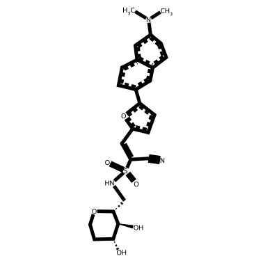 CN(C)c1ccc2cc(-c3ccc(/C=C(\C#N)S(=O)(=O)NC[C@H]4OCC[C@@H](O)[C@@H]4O)o3)ccc2c1